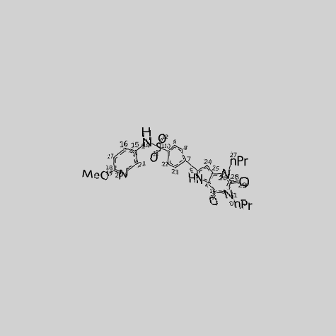 CCCn1c(=O)c2[nH]c(-c3ccc(S(=O)(=O)Nc4ccc(OC)nc4)cc3)cc2n(CCC)c1=O